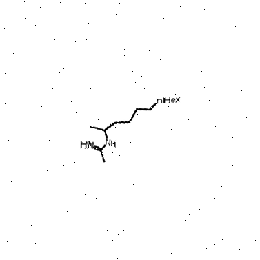 CCCCCCCCCCC(C)NC(C)=N